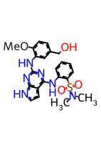 COc1ccc(CO)cc1Nc1nc(Nc2ccccc2S(=O)(=O)N(C)C)c2cc[nH]c2n1